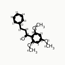 COc1cc(OC)c(C(=O)CCc2ccccc2)c(OC)c1